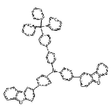 c1ccc(C(c2ccccc2)(c2ccccc2)c2ccc(-c3ccc(N(c4ccc(-c5ccc6oc7ccccc7c6c5)cc4)c4ccc(-c5ccc6oc7ccccc7c6c5)cc4)cc3)cc2)cc1